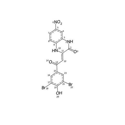 O=C1Nc2cc([N+](=O)[O-])ccc2N/C1=C\C(=O)c1cc(Br)c(O)c(Br)c1